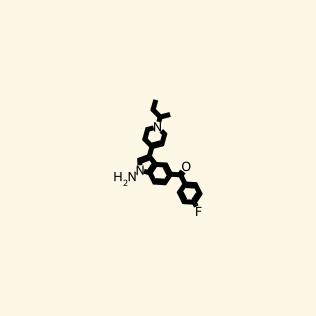 CCC(C)N1CC=C(c2cn(N)c3ccc(C(=O)c4ccc(F)cc4)cc23)CC1